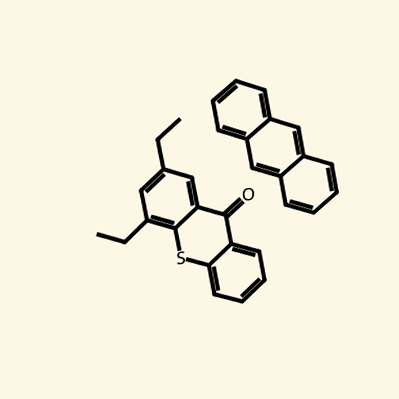 CCc1cc(CC)c2sc3ccccc3c(=O)c2c1.c1ccc2cc3ccccc3cc2c1